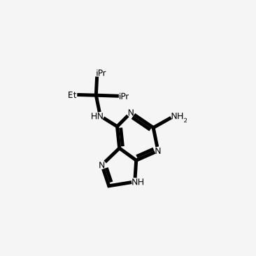 CCC(Nc1nc(N)nc2[nH]cnc12)(C(C)C)C(C)C